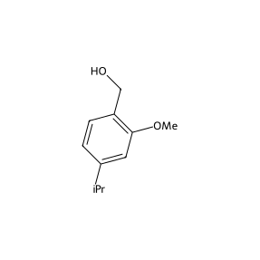 COc1cc(C(C)C)ccc1CO